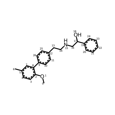 COc1ccc(C)cc1-c1ccc(CCNCC(O)c2ccccc2)cc1